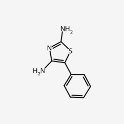 Nc1nc(N)c(-c2ccccc2)s1